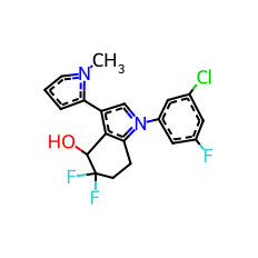 Cn1cccc1-c1cn(-c2cc(F)cc(Cl)c2)c2c1C(O)C(F)(F)CC2